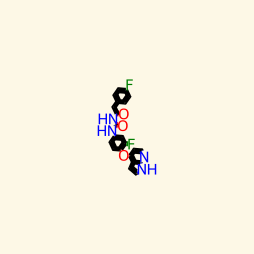 O=C(Cc1ccc(F)cc1)NC(=O)Nc1ccc(Oc2ccnc3[nH]ccc23)c(F)c1